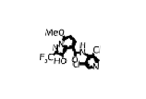 COc1ccc(C(=O)Nc2c(Cl)cncc2Cl)c2c(O)c(C(F)(F)F)nn12